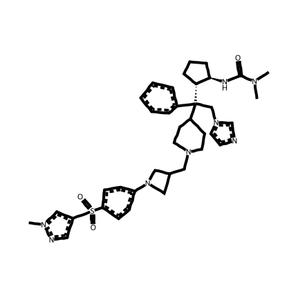 CN(C)C(=O)N[C@@H]1CCC[C@H]1C(Cn1ccnc1)(c1ccccc1)C1CCN(CC2CN(c3ccc(S(=O)(=O)c4cnn(C)c4)cc3)C2)CC1